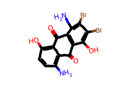 Nc1ccc(O)c2c1C(=O)c1c(O)c(Br)c(Br)c(N)c1C2=O